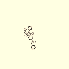 O=C1N[C@]2(CC[C@@H](NCc3ccccc3)CC2)C(=O)N1c1ccccc1Cl